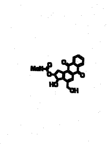 CNC(=O)OC1Cc2c3c(cc(CO)c2C1O)C(=O)c1ccccc1C3=O